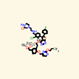 CCOC(=O)[C@@H](Cc1cc(CC(=O)OC(C)(C)C)ccc1OCc1ccnc(OCCC(F)(F)F)n1)Oc1ncnc2sc(-c3ccc(F)cc3)c(-c3ccc(CNCCN4CCNC(=O)C4)c(Cl)c3C)c12